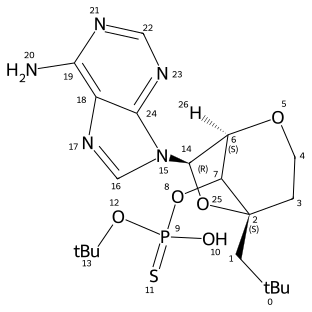 CC(C)(C)C[C@]12CCO[C@@H](C1OP(O)(=S)OC(C)(C)C)[C@H](n1cnc3c(N)ncnc31)O2